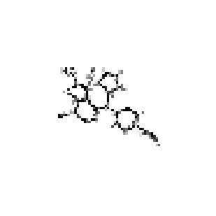 Cc1oc2c(Br)ccc(C(c3ccc(C#N)cc3)c3ncc[nH]3)c2c1C